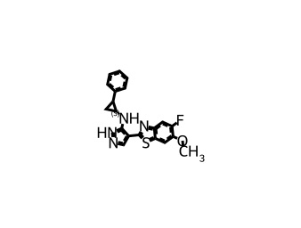 COc1cc2sc(-c3cn[nH]c3N[C@H]3CC3c3ccccc3)nc2cc1F